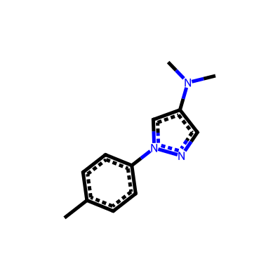 Cc1ccc(-n2cc(N(C)C)cn2)cc1